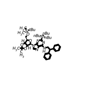 CCC[CH2][Sn]([CH2]CCC)([CH2]CCC)[c]1nc(NCC(c2ccccc2)c2ccccc2)c2ncn([C@@H]3O[C@H](CO[Si](C)(C)C(C)(C)C)[C@H]4OC(C)(C)O[C@@H]43)c2n1